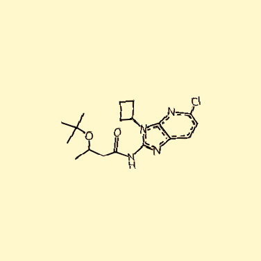 CC(CC(=O)Nc1nc2ccc(Cl)nc2n1C1CCC1)OC(C)(C)C